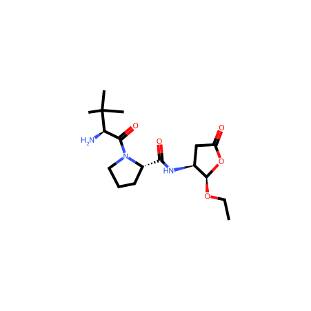 CCO[C@@H]1OC(=O)C[C@@H]1NC(=O)[C@@H]1CCCN1C(=O)[C@@H](N)C(C)(C)C